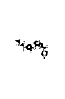 CN1CCN(C(=O)c2cc3nccc(Oc4ccc(NC(=O)NC5CC5)cc4F)c3s2)CC1